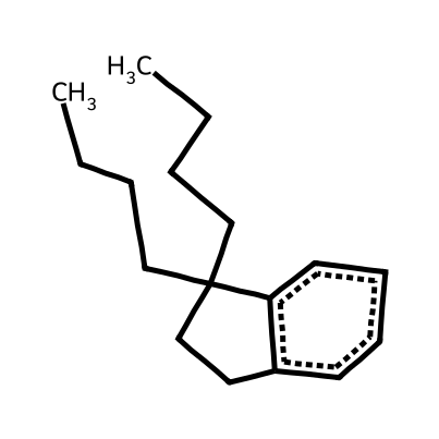 CCCCC1(CCCC)CCc2ccccc21